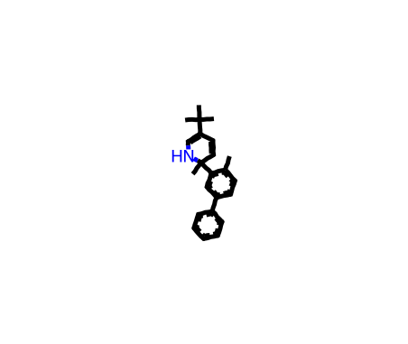 Cc1ccc(-c2ccccc2)cc1C1(C)C=CC(C(C)(C)C)=CN1